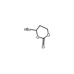 CCCCC1CCOC(=O)O1